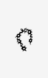 Cc1ccc(COc2ccc(Oc3ccc(C=CC(=O)N4CCN(Cc5ccc(CCOc6ccc(C)cc6)cc5)CC4)cc3C)nc2)cc1